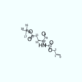 C=CCOC(=O)N[C@H](C=O)CCC(=O)OC(C)(C)C